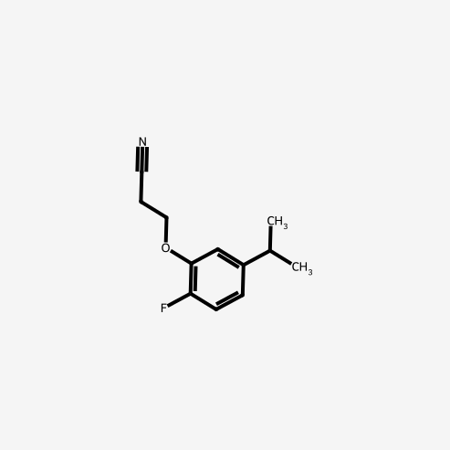 CC(C)c1ccc(F)c(OCCC#N)c1